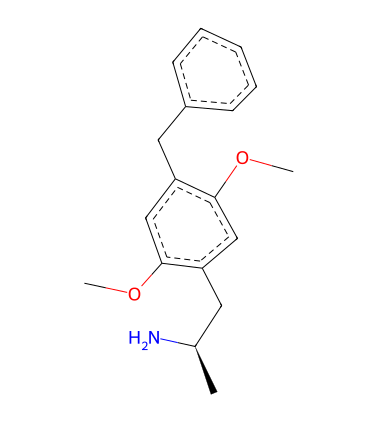 COc1cc(C[C@@H](C)N)c(OC)cc1Cc1ccccc1